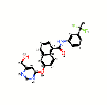 CC(F)(F)c1cccc(NC(=O)c2cccc3cc(Oc4cc(CO)ncn4)ccc23)c1